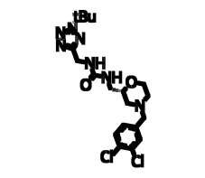 CC(C)(C)n1nnc(CNC(=O)NC[C@H]2CN(Cc3ccc(Cl)c(Cl)c3)CCO2)n1